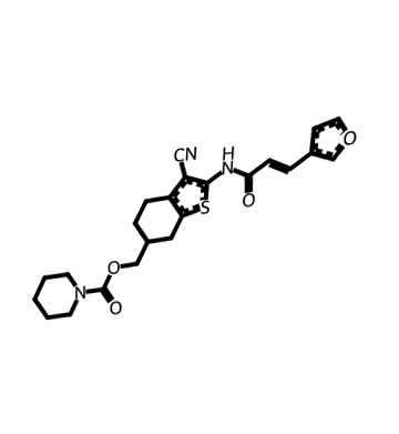 N#Cc1c(NC(=O)C=Cc2ccoc2)sc2c1CCC(COC(=O)N1CCCCC1)C2